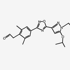 CCn1nc(-c2nc(-c3cc(C)c(CC=O)c(C)c3)no2)cc1OC(C)C